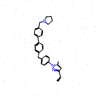 C=Cc1cc(C)n(-c2ccc(Cc3ccc(-c4ccc(CN5CCCC5)cc4)cc3)cc2)n1